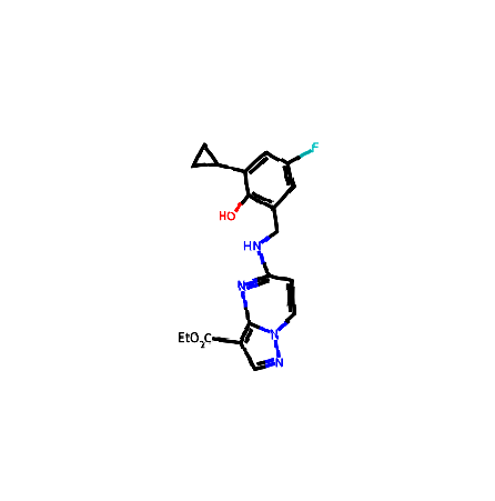 CCOC(=O)c1cnn2ccc(NCc3cc(F)cc(C4CC4)c3O)nc12